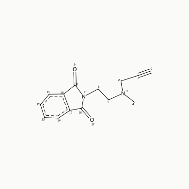 C#CCN(C)CCN1C(=O)c2ccccc2C1=O